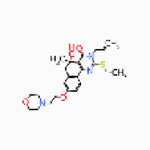 C=CCn1c(SCC)nc2c(c1=O)C(C)(O)Cc1cc(OCCN3CCOCC3)ccc1-2